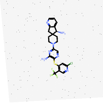 Nc1nc(N2CCC3(CC2)Cc2ncccc2[C@H]3N)cnc1Sc1cc(Cl)ncc1C(F)(F)F